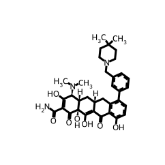 CN(C)[C@@H]1C(O)=C(C(N)=O)C(=O)[C@@]2(O)C(O)=C3C(=O)c4c(O)ccc(-c5cccc(CN6CCC(C)(C)CC6)c5)c4C[C@H]3C[C@@H]12